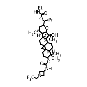 CCNC(=O)OC(C(C)C)C1C[C@@H](C)[C@H]2C(O1)[C@H](O)[C@@]1(C)C3CC[C@H]4C(C)(C)C(OC(=O)NC5CN(CC(F)(F)F)C5)CCC45CC35CCC21C